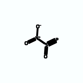 O=[N+]([O-])S(=O)#P